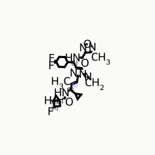 C=Nn1cc([C@@H](NC(=O)c2nonc2C)C2CCC(F)(F)CC2)nc1/C=C(\C)[C@H](NC(=O)[C@@]12C[C@@H](F)[C@@H]1C2)C1CC1